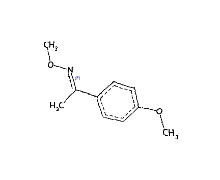 CO/N=C(\C)c1ccc(OC)cc1